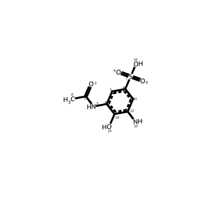 CC(=O)Nc1cc(S(=O)(=O)O)cc([NH])c1O